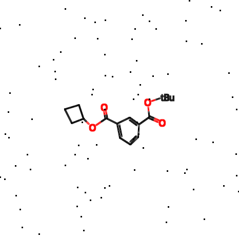 CC(C)(C)OC(=O)c1cccc(C(=O)OC2CCC2)c1